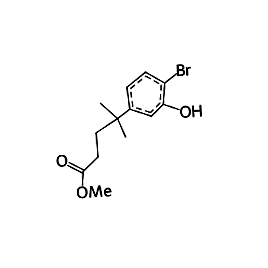 COC(=O)CCC(C)(C)c1ccc(Br)c(O)c1